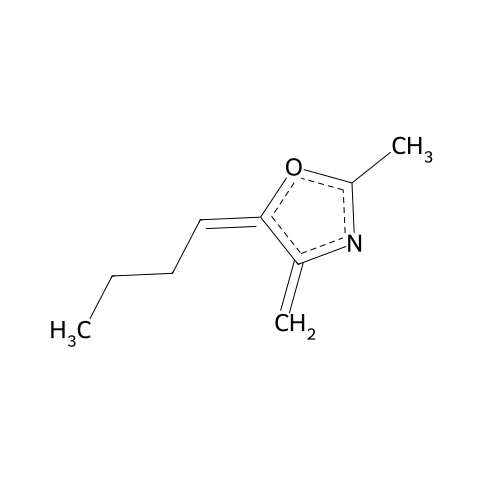 C=c1nc(C)o/c1=C/CCC